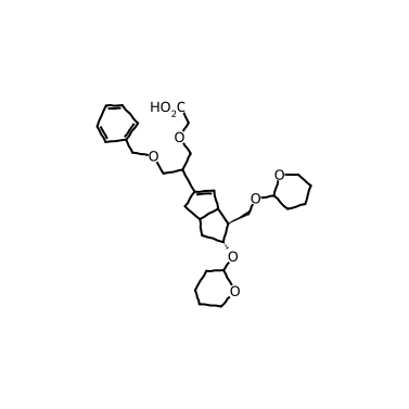 O=C(O)COCC(COCc1ccccc1)C1=CC2C(C1)C[C@@H](OC1CCCCO1)[C@@H]2COC1CCCCO1